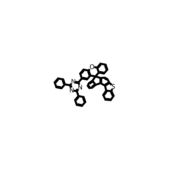 c1ccc(-c2nc(-c3ccccc3)nc(-c3ccc4c(c3)C3(c5ccccc5O4)c4ccccc4-c4c3ccc3sc5ccccc5c43)n2)cc1